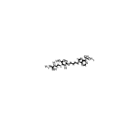 CN(C)c1ncnc2c1ncn2CCCCOC(=O)N[C@H](CCCNC(=N)N)C(=O)O